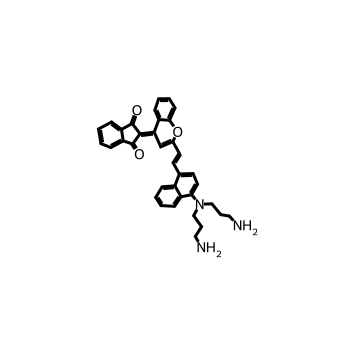 NCCCN(CCCN)c1ccc(C=CC2=CC(=C3C(=O)c4ccccc4C3=O)c3ccccc3O2)c2ccccc12